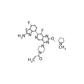 C=CC(=O)N1CCN(c2nc(OC[C@@H]3CCCN3C)nc3c(F)c(-c4ccc(F)c5sc(N)nc45)ncc23)CC1